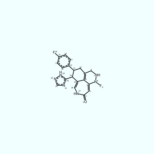 O=C1C=C2C3=C(CNN2F)CC(c2ccc(F)cc2)C(c2ncn[nH]2)C3=CN1